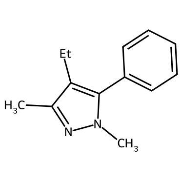 CCc1c(C)nn(C)c1-c1ccccc1